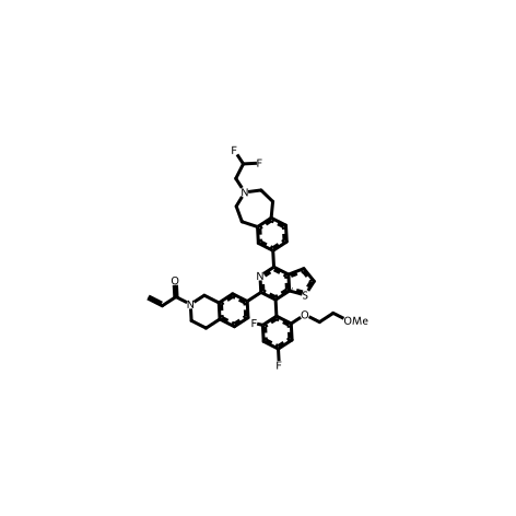 C=CC(=O)N1CCc2ccc(-c3nc(-c4ccc5c(c4)CCN(CC(F)F)CC5)c4ccsc4c3-c3c(F)cc(F)cc3OCCOC)cc2C1